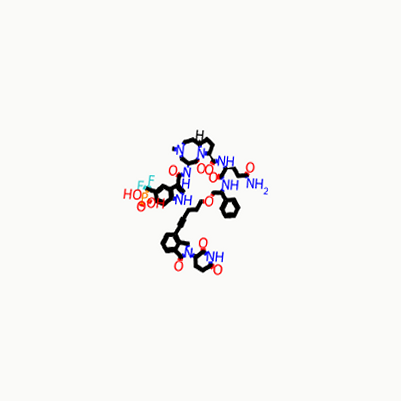 CN1CC[C@H]2CC[C@@H](C(=O)N[C@@H](CCC(N)=O)C(=O)NC(COCCCC#Cc3cccc4c3CN(C3CCC(=O)NC3=O)C4=O)c3ccccc3)N2C(=O)[C@@H](NC(=O)c2c[nH]c3ccc(C(F)(F)P(=O)(O)O)cc23)C1